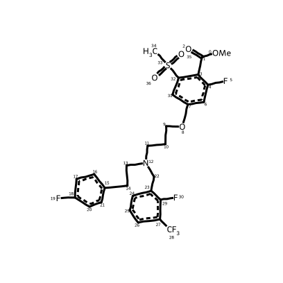 COC(=O)c1c(F)cc(OCCCN(CCc2ccc(F)cc2)Cc2cccc(C(F)(F)F)c2F)cc1S(C)(=O)=O